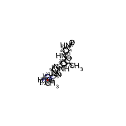 CCc1cc(Nc2nccn3c(C(/C=C\C(=C\F)OC)=C(/C)F)cnc23)ccc1C(=O)N[C@H]1CC[C@@H](NC=O)CC1